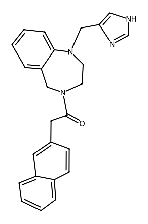 O=C(Cc1ccc2ccccc2c1)N1CCN(Cc2c[nH]cn2)c2ccccc2C1